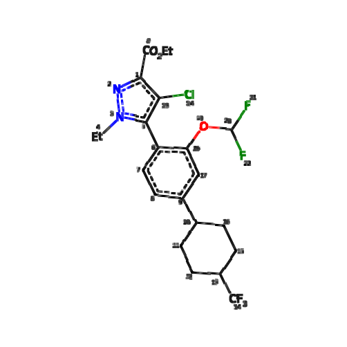 CCOC(=O)c1nn(CC)c(-c2ccc(C3CCC(C(F)(F)F)CC3)cc2OC(F)F)c1Cl